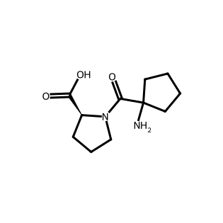 NC1(C(=O)N2CCC[C@H]2C(=O)O)CCCC1